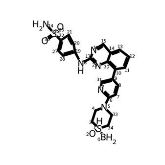 B[SH]1(=O)CCN(c2ccc(-c3cccc4cnc(Nc5ccc(S(N)(=O)=O)cc5)nc34)cn2)CC1